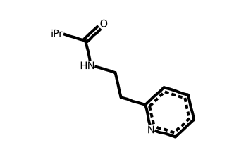 CC(C)C(=O)NCCc1ccccn1